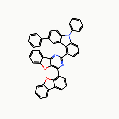 c1ccc(-c2ccc3c(c2)c2c(-c4nc(-c5cccc6c5oc5ccccc56)c5oc6ccccc6c5n4)cccc2n3-c2ccccc2)cc1